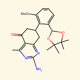 COc1cccc(B2OC(C)(C)C(C)(C)O2)c1C1CC(=O)c2c(C)nc(N)nc2C1